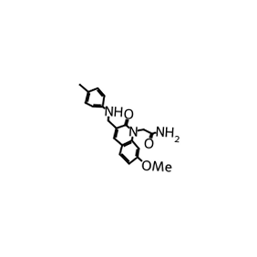 COc1ccc2cc(CNc3ccc(C)cc3)c(=O)n(CC(N)=O)c2c1